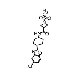 CS(=O)(=O)N1CC(C(=O)NC2CCC(c3nc4cc(Cl)ccc4o3)CC2)C1